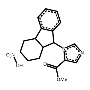 COC(=O)c1cncn1C1c2ccccc2C2CCCCC21.O=[N+]([O-])O